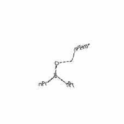 CCCCCCOB(CCC)CCC